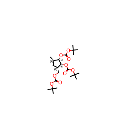 C[C@@H]1C[C@H](COC(=O)OC(C)(C)C)[C@@H](OC(=O)OC(C)(C)C)[C@H]1OC(=O)OC(C)(C)C